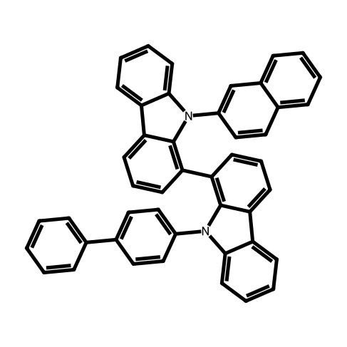 c1ccc(-c2ccc(-n3c4ccccc4c4cccc(-c5cccc6c7ccccc7n(-c7ccc8ccccc8c7)c56)c43)cc2)cc1